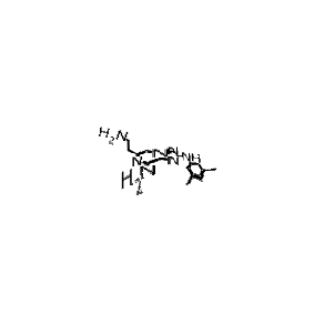 Cc1cc(C)cc(Nc2nc3c(N)nc(CCN)cn3n2)c1